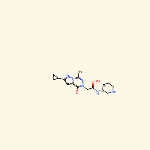 CC(C)c1nn(CC(=O)N[C@H]2CNCC[C@H]2O)c(=O)c2cc(C3CC3)nn12